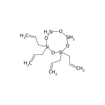 C=CC[Si]1(CC=C)O[SiH2]O[SiH2]O[Si](CC=C)(CC=C)O1